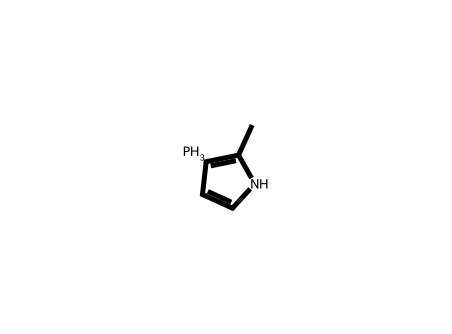 Cc1ccc[nH]1.P